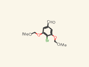 COCOc1cc(C=O)cc(OCOC)c1Br